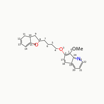 COc1c(OCCCCC2CC3CC=CC=C3O2)ccc2cccnc12